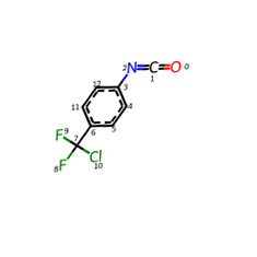 O=C=Nc1ccc(C(F)(F)Cl)cc1